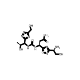 C[C@H](O)C(NC(=O)N[C@@H](CC(N)=O)c1nc([C@@H](N)CO)no1)c1nnc(CO)o1